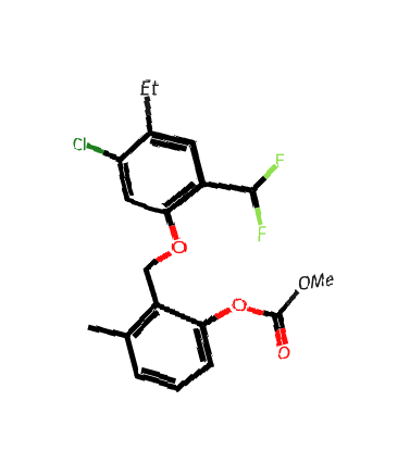 CCc1cc(C(F)F)c(OCc2c(C)cccc2OC(=O)OC)cc1Cl